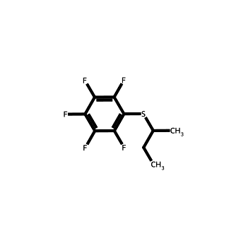 CCC(C)Sc1c(F)c(F)c(F)c(F)c1F